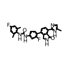 Cc1cnc(-c2ccc(-c3ccc(NC(=O)Nc4c(C)cc(F)cc4C)cc3F)c3c2C(=O)NC3)[nH]1